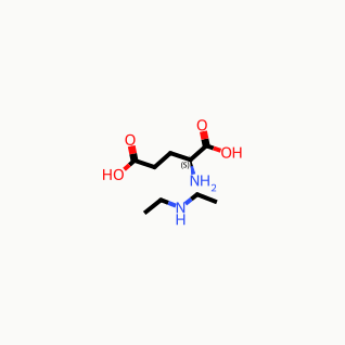 CCNCC.N[C@@H](CCC(=O)O)C(=O)O